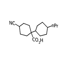 CCCC1CCC(C2(C(=O)O)CCC(C#N)CC2)CC1